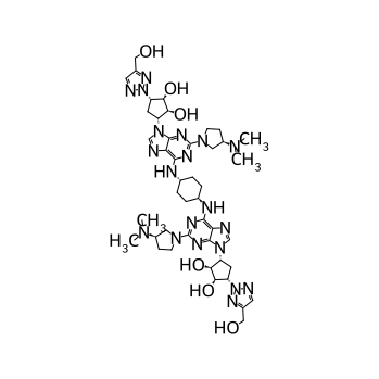 CN(C)[C@@H]1CCN(c2nc(N[C@H]3CC[C@H](Nc4nc(N5CC[C@@H](N(C)C)C5)nc5c4ncn5[C@@H]4C[C@H](n5ncc(CO)n5)[C@@H](O)[C@H]4O)CC3)c3ncn([C@@H]4C[C@H](n5ncc(CO)n5)[C@@H](O)[C@H]4O)c3n2)C1